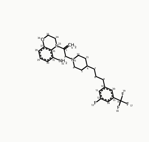 C=C(CN1CCC(CCCc2cc(F)cc(C(F)(F)F)c2)CC1)N1CCOc2cccc(N)c21